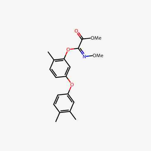 CON=C(Oc1cc(Oc2ccc(C)c(C)c2)ccc1C)C(=O)OC